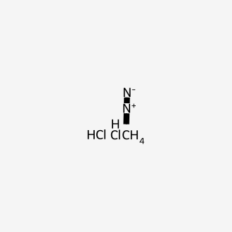 C.C=[N+]=[N-].Cl.Cl